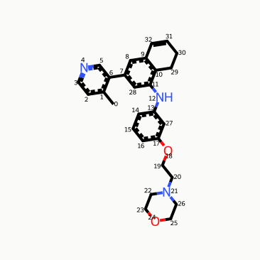 Cc1ccncc1-c1cc2c(c(Nc3cccc(OCCN4CCOCC4)c3)c1)CCC=C2